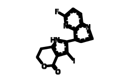 O=C1OCCc2[nH]c(-c3ccnc4ccc(F)nc34)c(I)c21